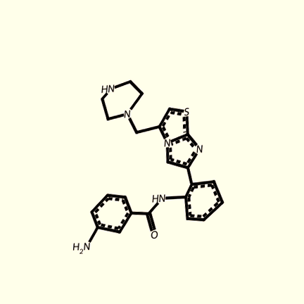 Nc1cccc(C(=O)Nc2ccccc2-c2cn3c(CN4CCNCC4)csc3n2)c1